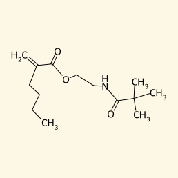 C=C(CCCC)C(=O)OCCNC(=O)C(C)(C)C